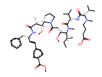 CC[C@H](C)[C@@H]([C@@H](CC(=O)N1CCC[C@H]1[C@H](OC)[C@@H](C)C(=O)N[C@H](C=Cc1ccc(C(=O)OC)cc1)Cc1ccccc1)OC)N(C)C(=O)[C@@H](NC(=O)[C@H](C(C)C)N(C)CCCC(=O)O)C(C)C